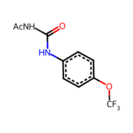 [CH2]C(=O)NC(=O)Nc1ccc(OC(F)(F)F)cc1